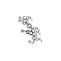 Cc1c(C(=O)OC(C)C)cc2cc(Br)cn2c1C(C)N1CCN(C(=O)OC(C)(C)C)CC1